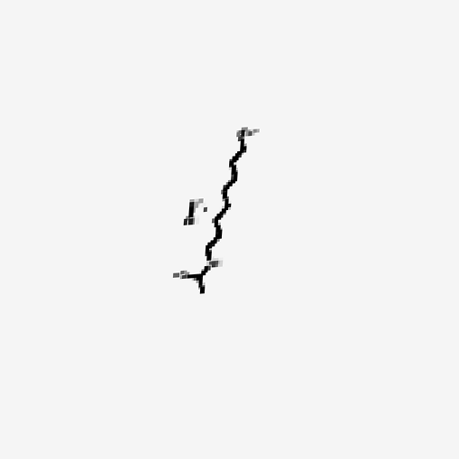 CCCCCCCCCCCCCCCCCCNC(C)O.O=[N+]([O-])O